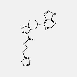 O=C(NCCc1ncco1)c1noc2c1CN(c1ncnc3[nH]ccc13)CC2